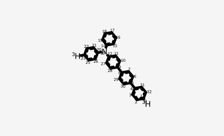 [3H]c1ccc(-c2ccc(-c3ccc(N(c4ccccc4)c4ccc([3H])cc4)cc3)cc2)cc1